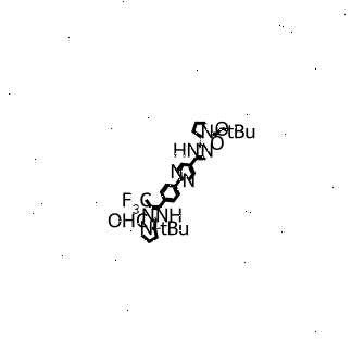 CC(C)(C)OC(=O)N1CCC[C@H]1c1ncc(-c2cnc(-c3ccc(-c4[nH]c([C@@]5(C(C)(C)C)CCCN5[C]=O)nc4C(F)(F)F)cc3)nc2)[nH]1